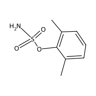 Cc1cccc(C)c1OS(N)(=O)=O